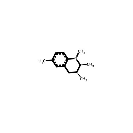 Cc1ccc2c(c1)C[C@@H](C)[C@H](C)N2C